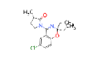 CCC1(CC)N=C(N2CCC(C)C2=O)c2cc(Cl)ccc2O1